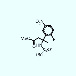 COC(=O)CC(C)(N[S@+]([O-])C(C)(C)C)c1cc([N+](=O)[O-])ccc1F